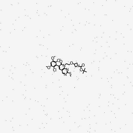 COc1cc(OC)c(Cl)c(-c2cc3cnc(SC)nc3n(CCOC3CN(C(=O)OC(C)(C)C)C3)c2=O)c1Cl